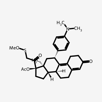 COSCC(=O)[C@@]1(OC(C)=O)CC[C@H]2[C@@H]3CCC4=CC(=O)CCC4=C3[C@@H](c3ccc(N(C)C)cc3)C[C@@]21C